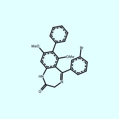 COc1cc2c(c(OC)c1-c1ccccc1)C(c1cccc(Br)c1)=NCC(=O)N2